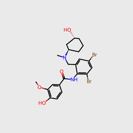 COc1cc(C(=O)Nc2c(Br)cc(Br)cc2CN(C)[C@@H]2CCC[C@@H](O)C2)ccc1O